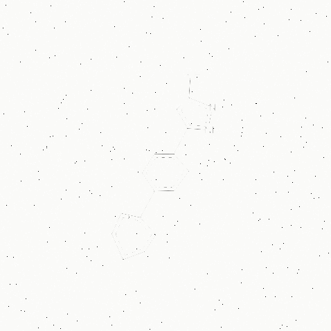 Cc1cc(-c2ccc(-c3ccccc3)cc2)[nH]n1